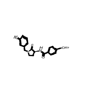 COc1ccc(C(=O)N[C@H]2CCN(Cc3cccc(C#N)c3)C2=O)cc1